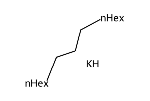 [CH2]CCCCCCCCCCCCCC.[KH]